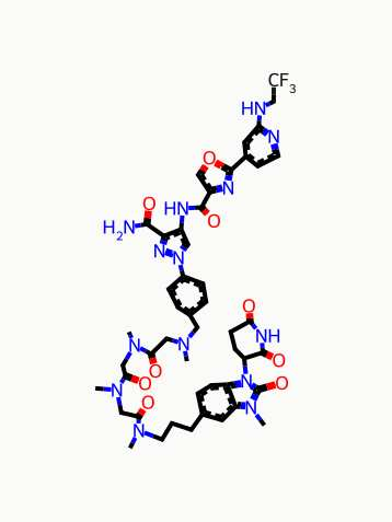 CN(CC(=O)N(C)CC(=O)N(C)CC(=O)N(C)CCCc1ccc2c(c1)n(C)c(=O)n2C1CCC(=O)NC1=O)Cc1ccc(-n2cc(NC(=O)c3coc(-c4ccnc(NCC(F)(F)F)c4)n3)c(C(N)=O)n2)cc1